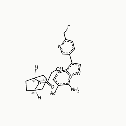 CC(=O)c1c([C@@H]2C[C@H]3CC[C@@H](C2)N3C(=O)CO)nc2c(-c3ccc(CF)nc3)cnn2c1N